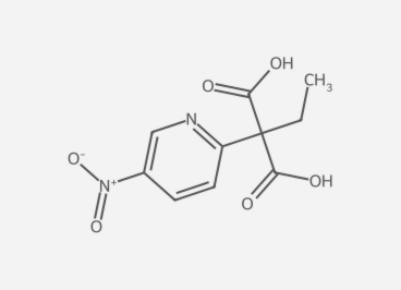 CCC(C(=O)O)(C(=O)O)c1ccc([N+](=O)[O-])cn1